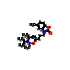 Cc1ccc2oc(=O)n(CCCCOP(C)N(C(C)C)C(C)C)c2c1